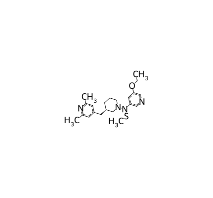 CCOc1cncc(N(SC)N2CCC[C@H](Cc3cc(C)nc(C)c3)C2)c1